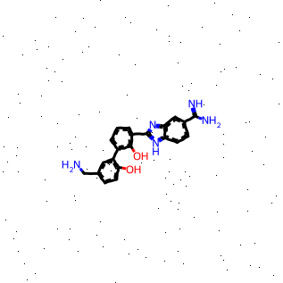 N=C(N)c1ccc2[nH]c(-c3cccc(-c4cc(CN)ccc4O)c3O)nc2c1